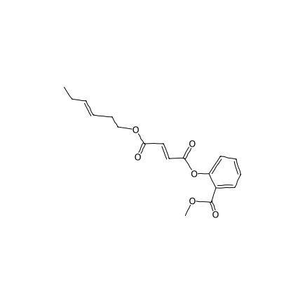 CCC=CCCOC(=O)C=CC(=O)Oc1ccccc1C(=O)OC